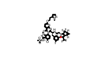 Cn1nccc1CCOc1ccc2c(=O)n(-c3ccc(Cl)c4c(NS(C)(=O)=O)nn(C)c34)c([C@H](Cc3cc(F)cc(F)c3)NC(=O)Cn3nc(C(F)F)c4c3C(F)(F)[C@@H]3C[C@H]43)nc2n1